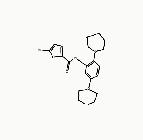 O=C(Nc1cc(N2CCOCC2)ccc1N1CCCCC1)c1ccc(Br)o1